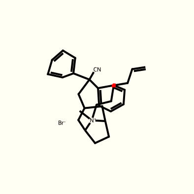 C=CCCCC[N+]1(C)C2CCC1CC(CC(C#N)(c1ccccc1)c1ccccc1)C2.[Br-]